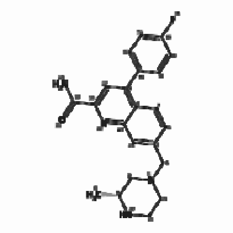 C[C@@H]1CN(Cc2ccc3c(-c4ccc(F)cc4)cc(C(N)=O)nc3c2)CCN1